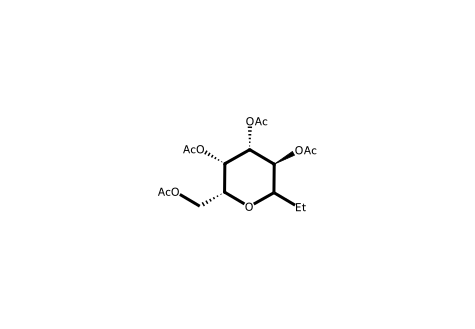 CCC1O[C@H](COC(C)=O)[C@H](OC(C)=O)[C@H](OC(C)=O)[C@H]1OC(C)=O